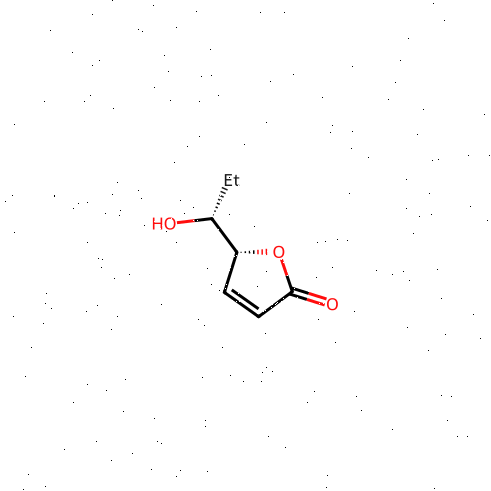 CC[C@@H](O)[C@H]1C=CC(=O)O1